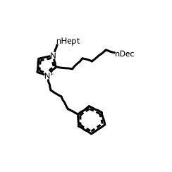 CCCCCCCCCCCCCCc1n(CCCCCCC)cc[n+]1CCCc1ccccc1